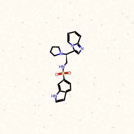 O=S(=O)(NC[C@H](c1cnc2ccccn12)N1CCCC1)c1ccc2cc[nH]c2c1